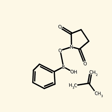 C=C(C)C.O=C1CCC(=O)N1OB(O)c1ccccc1